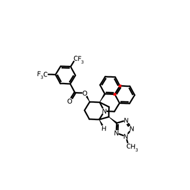 Cn1nnc([C@@H]2C[C@@]3(c4ccccc4)[C@H](OC(=O)c4cc(C(F)(F)F)cc(C(F)(F)F)c4)CC[C@@H]2N3Cc2ccccc2)n1